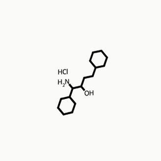 Cl.NC(C(O)CCC1CCCCC1)C1CCCCC1